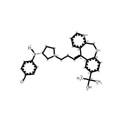 CCN(c1ccc(Cl)cc1)[C@@H]1CCN(CCC=C2c3cc(C(C)(C)O)ccc3OCc3ncccc32)C1